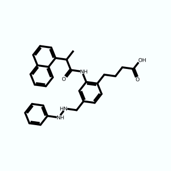 CC(C(=O)Nc1cc(CNNc2ccccc2)ccc1CCCC(=O)O)c1cccc2ccccc12